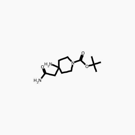 CC(C)(C)OC(=O)N1CCC(N)(CC(N)=O)CC1